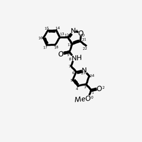 COC(=O)C1C=CC(CNC(=O)c2c(C3C=CC=CC3)noc2C)=NC1